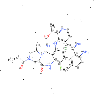 C=CC(=O)N1CC(C)N2C(=N)c3c(c(F)c(-c4c(C)ccc(N)c4C=N)c(Cl)c3Nc3c(C)ccnc3C(C)O)NC(=O)C2C1